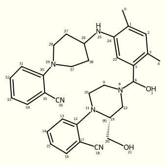 Cc1cc(C)c(C(O)N2CCN(c3ccccc3C#N)[C@@H](CO)C2)cc1NC1CCN(c2ccccc2C#N)CC1